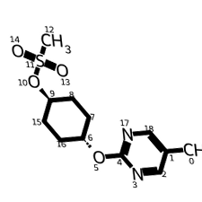 Cc1cnc(O[C@H]2CC[C@H](OS(C)(=O)=O)CC2)nc1